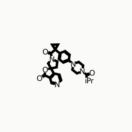 CC(C)C(=O)N1CCN(c2ccc(C3(C(=O)N4CCC5(C4)OC(=O)c4cnccc45)CC3)cc2)CC1